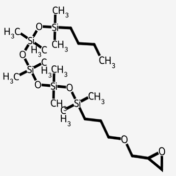 CCCC[Si](C)(C)O[Si](C)(C)O[Si](C)(C)O[Si](C)(C)O[Si](C)(C)CCCOCC1CO1